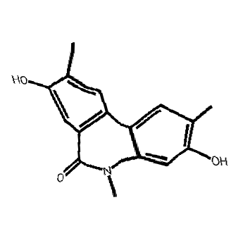 Cc1cc2c(cc1O)c(=O)n(C)c1cc(O)c(C)cc21